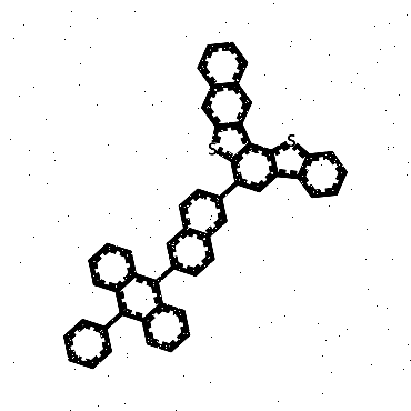 c1ccc(-c2c3ccccc3c(-c3ccc4cc(-c5cc6c7ccccc7sc6c6c5sc5cc7ccccc7cc56)ccc4c3)c3ccccc23)cc1